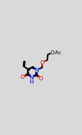 C=Cc1cn(COCCOC(C)=O)c(=O)[nH]c1=O